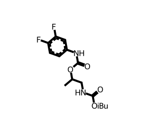 CC(C)COC(=O)NCC(C)OC(=O)Nc1ccc(F)c(F)c1